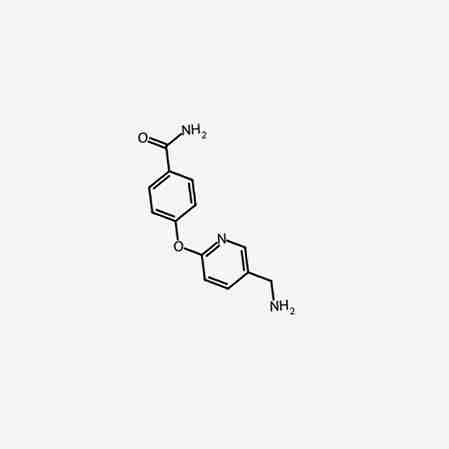 NCc1ccc(Oc2ccc(C(N)=O)cc2)nc1